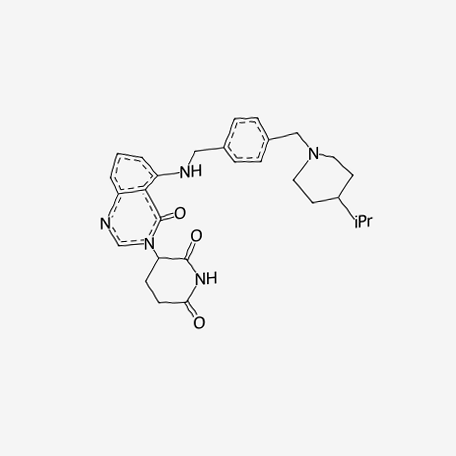 CC(C)C1CCN(Cc2ccc(CNc3cccc4ncn(C5CCC(=O)NC5=O)c(=O)c34)cc2)CC1